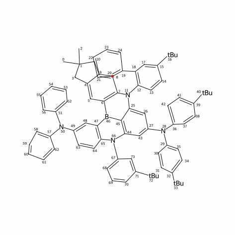 CC1(C)Cc2cc3c(cc2C1)N(c1ccc(C(C)(C)C)cc1-c1ccccc1)c1cc(N(c2ccc(C(C)(C)C)cc2)c2ccc(C(C)(C)C)cc2)cc2c1B3c1cc(N(c3ccccc3)c3ccccc3)ccc1N2c1cccc(C(C)(C)C)c1